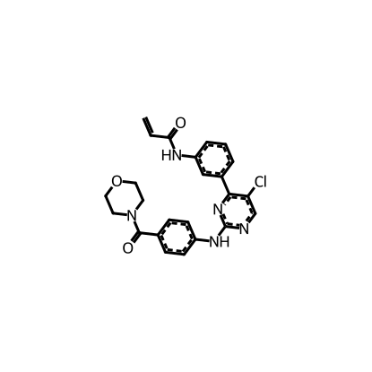 C=CC(=O)Nc1cccc(-c2nc(Nc3ccc(C(=O)N4CCOCC4)cc3)ncc2Cl)c1